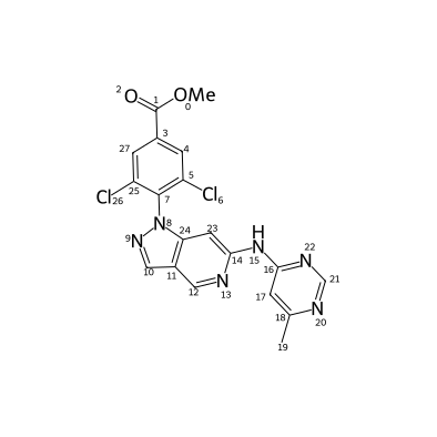 COC(=O)c1cc(Cl)c(-n2ncc3cnc(Nc4cc(C)ncn4)cc32)c(Cl)c1